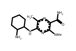 CNc1nc(NC2CCCCC2N)c(C)nc1C(N)=O